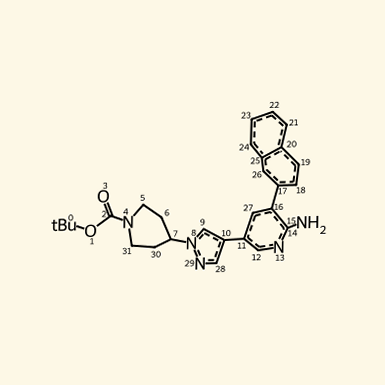 CC(C)(C)OC(=O)N1CCC(n2cc(-c3cnc(N)c(-c4ccc5ccccc5c4)c3)cn2)CC1